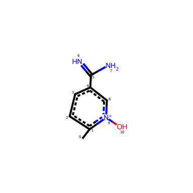 Cc1ccc(C(=N)N)c[n+]1O